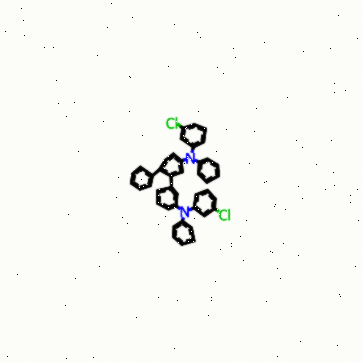 Clc1cccc(N(c2ccccc2)c2cccc(-c3cc(N(c4ccccc4)c4cccc(Cl)c4)ccc3-c3ccccc3)c2)c1